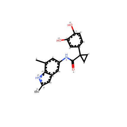 Cc1cc(NC(=O)C2(c3ccc(O)c(O)c3)CC2)cc2cc(C(C)(C)C)[nH]c12